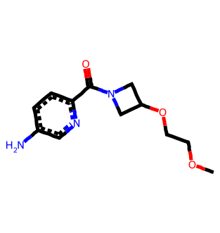 COCCOC1CN(C(=O)c2ccc(N)cn2)C1